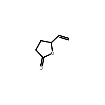 C=CC1CCC(=O)O1